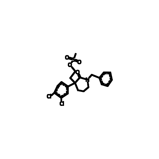 CS(=O)(=O)OCCC1(c2ccc(Cl)c(Cl)c2)CCCN(Cc2ccccc2)C1=O